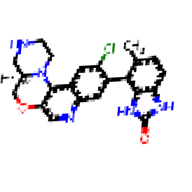 Cc1ccc2[nH]c(=O)[nH]c2c1-c1cc2ncc3c(c2cc1Cl)N1CCNC[C@@H]1CO3